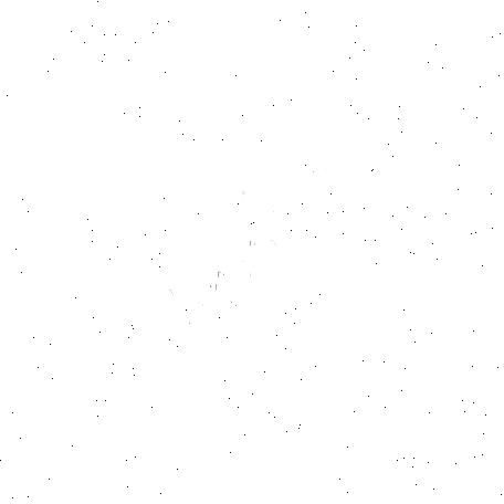 CC(=O)SC[C@@H](Cc1ccccc1)C(=O)Nc1nnn(N(C)C(C)=O)n1